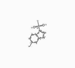 Cc1ccc2c(c1)nnn2S(C)(=O)=O